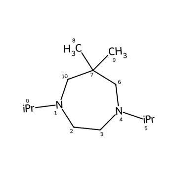 CC(C)N1CCN(C(C)C)CC(C)(C)C1